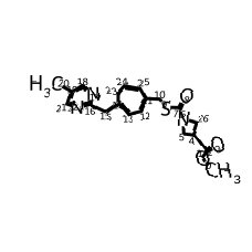 COC(=O)C1CN(C(=O)SCC2=CC=C(Cc3ncc(C)cn3)CC=C2)C1